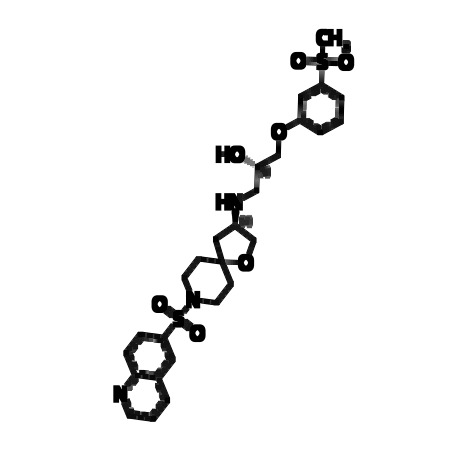 CS(=O)(=O)c1cccc(OC[C@@H](O)CN[C@H]2COC3(CCN(S(=O)(=O)c4ccc5ncccc5c4)CC3)C2)c1